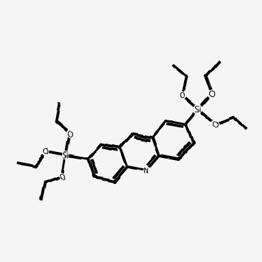 CCO[Si](OCC)(OCC)c1ccc2nc3ccc([Si](OCC)(OCC)OCC)cc3cc2c1